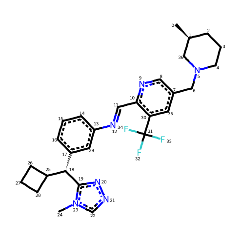 C[C@H]1CCCN(Cc2cnc(/C=N/c3cccc([C@H](c4nncn4C)C4CCC4)c3)c(C(F)(F)F)c2)C1